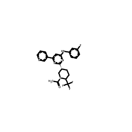 CC(=O)N1C[C@H](c2nc(Nc3cccc(F)c3)cc(-c3cccnc3)n2)CCC1C(F)(F)F